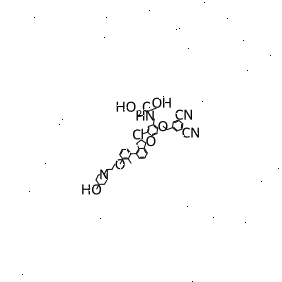 Cc1c(OCCCN2CCC(O)CC2)cccc1-c1cccc2c1CC[C@@H]2Oc1cc(OCc2cc(C#N)cc(C#N)c2)c(CN[C@@H](CO)C(=O)O)cc1Cl